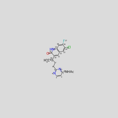 CC(=O)Nc1ccnc(CC[C@@H](C)c2cc3cc(Cl)c(F)cc3[nH]c2=O)n1